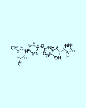 O=C(N[C@@H](CCc1nnn[nH]1)C(=O)O)Oc1ccc(N(CCCl)CCCl)cc1